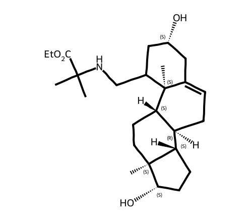 CCOC(=O)C(C)(C)NCC1C[C@H](O)CC2=CC[C@H]3[C@@H]4CC[C@H](O)[C@@]4(C)CC[C@@H]3[C@]21C